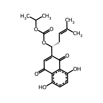 CC(C)=CC[C@@H](OC(=O)OC(C)C)C1=CC(=O)c2c(O)ccc(O)c2C1=O